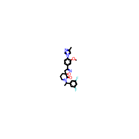 COc1cc(C2=NOC3(CCCN(C(C)c4cc(F)cc(F)c4)C3=O)C2)ccc1-n1cnc(C)c1